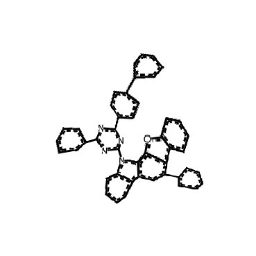 c1ccc(-c2ccc(-c3nc(-c4ccccc4)nc(-n4c5ccccc5c5cc(-c6ccccc6)c6c7ccccc7oc6c54)n3)cc2)cc1